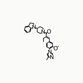 CC/C(=C\c1ccc(-n2cnc(C)c2)c(OC)c1)C(=O)N1CCC(N2CCc3ccccc32)CC1